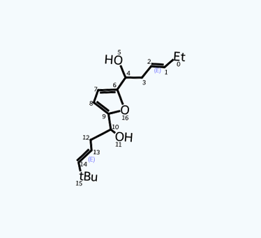 CC/C=C/CC(O)c1ccc(C(O)C/C=C/C(C)(C)C)o1